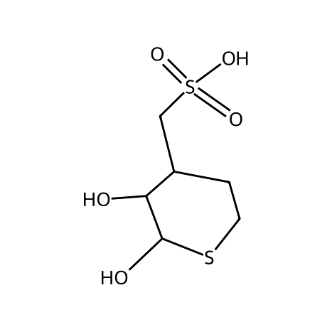 O=S(=O)(O)CC1CCSC(O)C1O